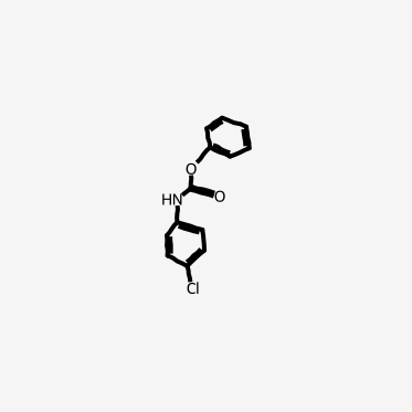 O=C(Nc1ccc(Cl)cc1)Oc1ccccc1